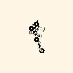 Cc1cc(C)c(C(c2cccc(Cl)c2)N(C(=O)O)c2ccnc(Nc3cccc(OCCCN4CCCCC4)c3)n2)c(C)c1